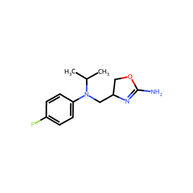 CC(C)N(CC1COC(N)=N1)c1ccc(F)cc1